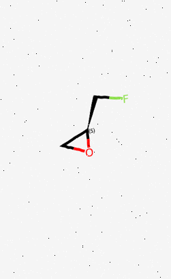 FC[C@@H]1CO1